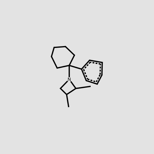 CC1CN(C2(c3ccccc3)CCCCC2)C1C